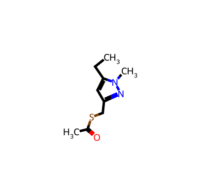 CCc1cc(CSC(C)=O)nn1C